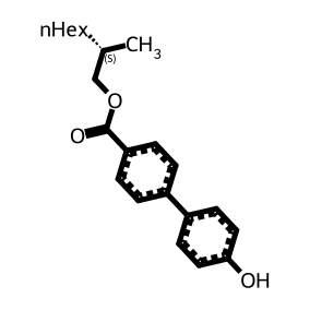 CCCCCC[C@H](C)COC(=O)c1ccc(-c2ccc(O)cc2)cc1